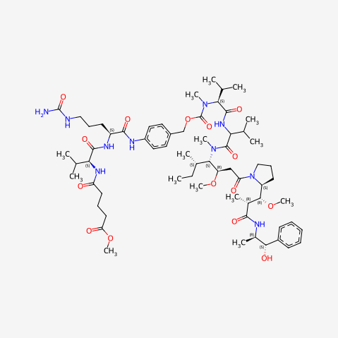 CC[C@H](C)[C@@H]([C@@H](CC(=O)N1CCC[C@H]1[C@H](OC)[C@@H](C)C(=O)N[C@H](C)[C@@H](O)c1ccccc1)OC)N(C)C(=O)C(NC(=O)[C@H](C(C)C)N(C)C(=O)OCc1ccc(NC(=O)[C@H](CCCNC(N)=O)NC(=O)[C@@H](NC(=O)CCCC(=O)OC)C(C)C)cc1)C(C)C